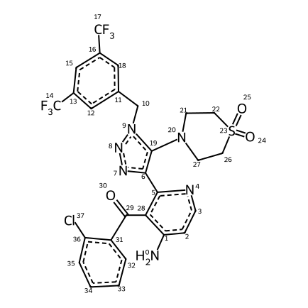 Nc1ccnc(-c2nnn(Cc3cc(C(F)(F)F)cc(C(F)(F)F)c3)c2N2CCS(=O)(=O)CC2)c1C(=O)c1ccccc1Cl